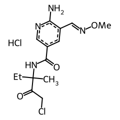 CCC(C)(NC(=O)c1cnc(N)c(/C=N/OC)c1)C(=O)CCl.Cl